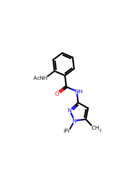 CC(=O)Nc1ccccc1C(=O)Nc1cc(C)n(C(C)C)n1